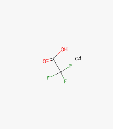 O=C(O)C(F)(F)F.[Cd]